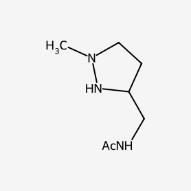 CC(=O)NCC1CCN(C)N1